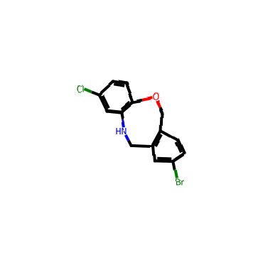 Clc1ccc2c(c1)NCc1cc(Br)ccc1CO2